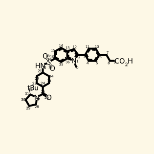 Cn1c(-c2ccc(CCC(=O)O)cc2)cc2ccc(S(=O)(=O)NC3CCC(C(=O)N4CCC[C@@H]4C(C)(C)C)CC3)cc21